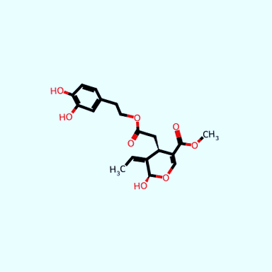 C/C=C1\[C@H](O)OC=C(C(=O)OC)[C@@H]1CC(=O)OCCc1ccc(O)c(O)c1